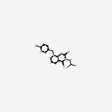 O=c1nc2n(Cc3ccc(Cl)nc3)cccc-2c(=O)n1CC(F)F